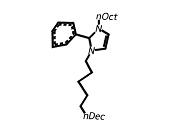 CCCCCCCCCCCCCCCN1C=CN(CCCCCCCC)C1c1ccccc1